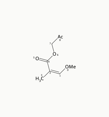 COC=C(C)C(=O)OCC(C)=O